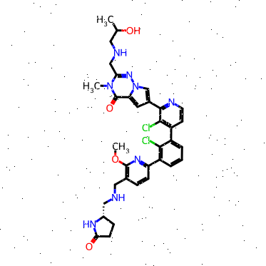 COc1nc(-c2cccc(-c3ccnc(-c4cc5c(=O)n(C)c(CNCC(C)O)nn5c4)c3Cl)c2Cl)ccc1CNC[C@@H]1CCC(=O)N1